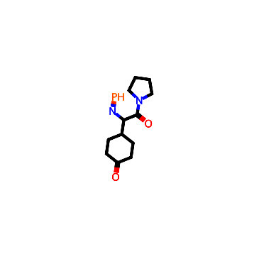 O=C1CCC(C(N=P)C(=O)N2CCCC2)CC1